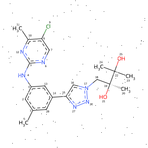 Cc1cc(Nc2ncc(Cl)c(C)n2)cc(-c2cn(C[C@](C)(O)C(C)(C)O)nn2)c1